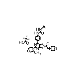 C[C@H]1COCCN1c1nc2c(c(-c3ccc(NC(=O)NC4CC4)cc3)n1)CN(C(=O)CN1CCOCC1)C2.O=C(O)C(F)(F)F